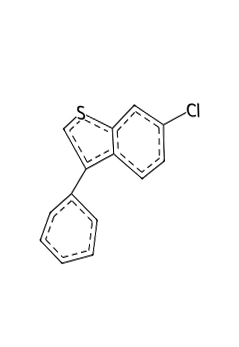 Clc1ccc2c(-c3ccccc3)csc2c1